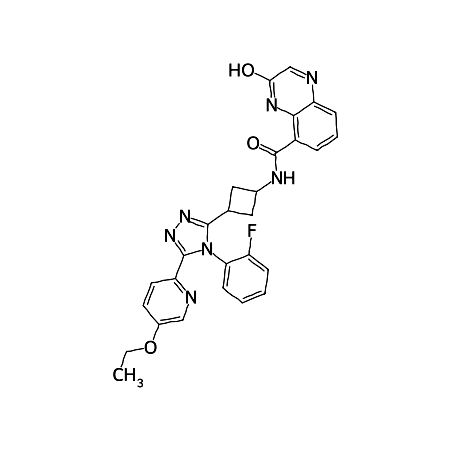 CCOc1ccc(-c2nnc(C3CC(NC(=O)c4cccc5ncc(O)nc45)C3)n2-c2ccccc2F)nc1